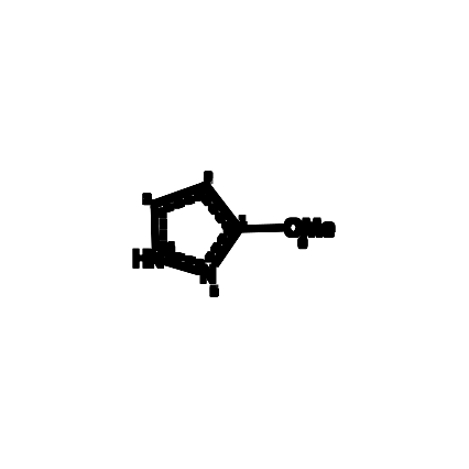 COc1[c]c[nH]n1